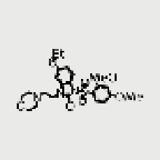 CCOc1ccc2c(c1)n(CCN1CCOCC1)c(=O)n2S(=O)(=O)c1ccc(OC)cc1OC